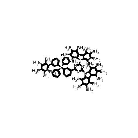 Bc1c(B)c(B)c(-c2cccc(S(c3ccccc3)(c3ccccc3)c3cccc(-c4nc(-n5c6c(B)c(B)c(B)c(B)c6c6c(B)c(B)c(B)c(B)c65)nc(-n5c6c(B)c(B)c(B)c(B)c6c6c(B)c(B)c(B)c(B)c65)n4)c3)c2)c(B)c1B